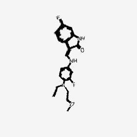 CCN(CCOC)c1ccc(NC=C2C(=O)Nc3cc(F)ccc32)cc1F